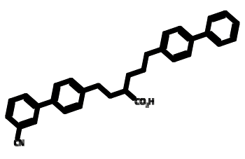 N#Cc1cccc(-c2ccc(CCC(CCCc3ccc(-c4ccccc4)cc3)C(=O)O)cc2)c1